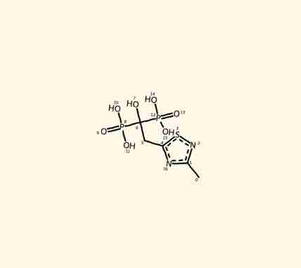 Cc1nsc(CC(O)(P(=O)(O)O)P(=O)(O)O)n1